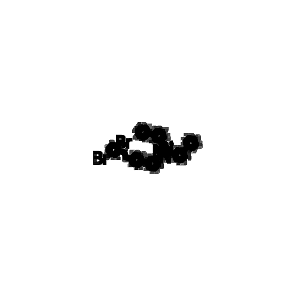 Brc1ccc(Br)c(CCc2ccc(-c3cccc(-c4nc(-c5cccc(-c6ccccc6)c5)nc(-c5cccc(-c6ccccc6)c5)n4)c3)cc2)c1